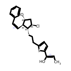 C/C=C(\O)c1ccc(CCC[C@@H]2[C@@H](/C=C\c3ccccc3)[C@H](O)C[C@H]2Cl)s1